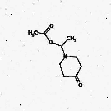 CC(=O)OC(C)N1CCC(=O)CC1